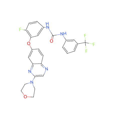 O=C(Nc1cccc(C(F)(F)F)c1)Nc1ccc(F)c(Oc2ccc3ncc(N4CCOCC4)nc3c2)c1